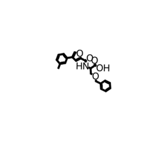 Cc1cccc(-c2coc(C(=O)NC(COCc3ccccc3)C(=O)O)c2)c1